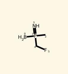 BP(C)(=N)CF